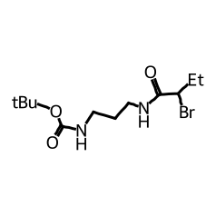 CCC(Br)C(=O)NCCCNC(=O)OC(C)(C)C